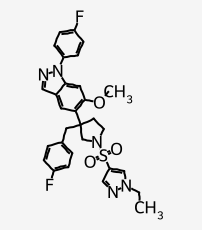 CCn1cc(S(=O)(=O)N2CCC(Cc3ccc(F)cc3)(c3cc4cnn(-c5ccc(F)cc5)c4cc3OC)C2)cn1